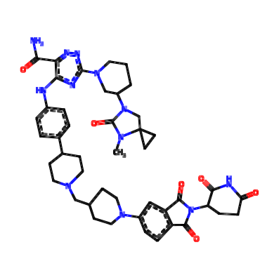 CN1C(=O)N(C2CCCN(c3nnc(C(N)=O)c(Nc4ccc(C5CCN(CC6CCN(c7ccc8c(c7)C(=O)N(C7CCC(=O)NC7=O)C8=O)CC6)CC5)cc4)n3)C2)CC12CC2